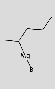 CCC[CH](C)[Mg][Br]